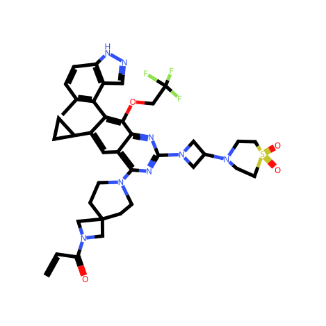 C=CC(=O)N1CC2(CCN(c3nc(N4CC(N5CCS(=O)(=O)CC5)C4)nc4c(OCC(F)(F)F)c(-c5c(C)ccc6[nH]ncc56)c(C5CC5)cc34)CC2)C1